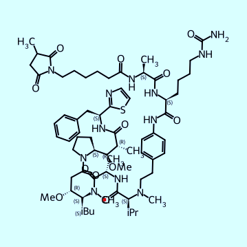 CC[C@H](C)[C@@H]([C@@H](CC(=O)N1CCC[C@H]1[C@H](OC)[C@@H](C)C(=O)N[C@@H](Cc1ccccc1)c1nccs1)OC)N(C)C(=O)[C@H](C)NC(=O)[C@H](C(C)C)N(C)CCc1ccc(NC(=O)[C@H](CCCCNC(N)=O)NC(=O)[C@H](C)NC(=O)CCCCCN2C(=O)CC(C)C2=O)cc1